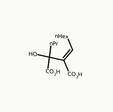 CCCCCCC=C(C(=O)O)C(O)(CCC)C(=O)O